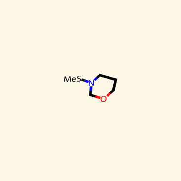 CSN1CCCOC1